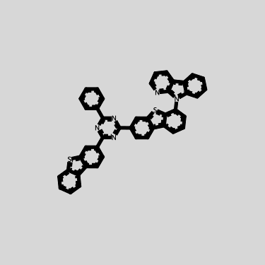 c1ccc(-c2nc(-c3ccc4c(c3)sc3ccccc34)nc(-c3ccc4c(c3)sc3c(-n5c6ccccc6c6cccnc65)cccc34)n2)cc1